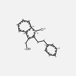 OCc1c(CCc2ccccc2)n(Cl)c2ccccc12